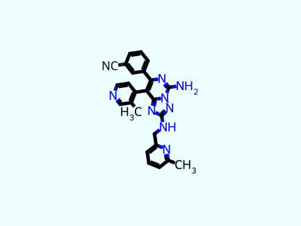 Cc1cccc(CNc2nc3c(-c4ccncc4C)c(-c4cccc(C#N)c4)nc(N)n3n2)n1